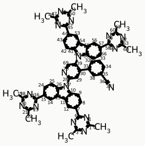 Cc1nc(C)nc(-c2ccc3c(c2)c2cc(-c4nc(C)nc(C)n4)ccc2n3-c2cc(-c3cccc(C#N)c3)c(-n3c4ccc(-c5nc(C)nc(C)n5)cc4c4cc(-c5nc(C)nc(C)n5)ccc43)cn2)n1